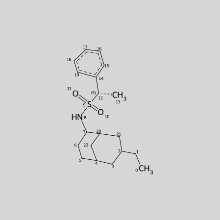 CCC1CC2CCC(NS(=O)(=O)[C@@H](C)c3ccccc3)C(C1)C2